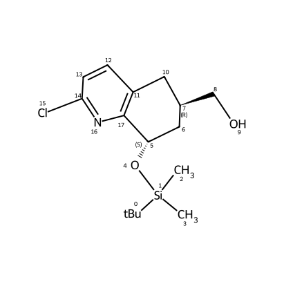 CC(C)(C)[Si](C)(C)O[C@H]1C[C@H](CO)Cc2ccc(Cl)nc21